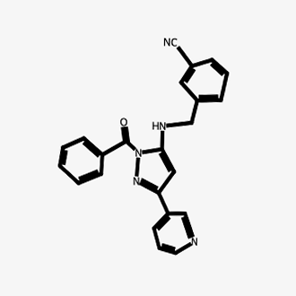 N#Cc1cccc(CNc2cc(-c3cccnc3)nn2C(=O)c2ccccc2)c1